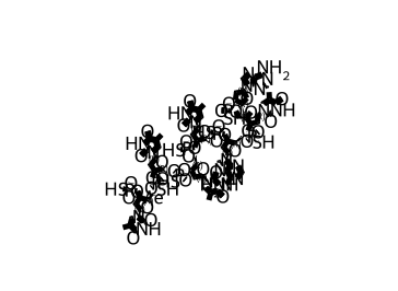 COP(=O)(S)OC1C[C@H](n2cc(C)c(=O)[nH]c2=O)O[C@@H]1COP(=O)(S)OC1C[C@H](n2cc(C)c(=O)[nH]c2=O)O[C@@H]1COP(=O)(S)OC1C[C@H](n2cc(C)c(=O)[nH]c2=O)O[C@@H]1COP(=O)(S)OC1C[C@H](n2cc(C)c(=O)[nH]c2=O)O[C@@H]1COP(=O)(S)OC1C[C@H](n2cnc3c(N)ncnc32)O[C@@H]1COP(=O)(S)OC1C[C@H](n2cc(C)c(=O)[nH]c2=O)O[C@@H]1COP(=O)(S)OC1C[C@H](n2cnc3c(N)ncnc32)O[C@@H]1C